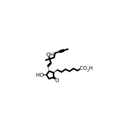 CC#CCCC(C)(O)/C=C/[C@H]1[C@H](O)CC(=O)[C@@H]1CCCCCCC(=O)O